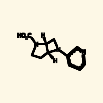 O=C(O)N1CC[C@@H]2[C@H]1CN2c1cccnc1